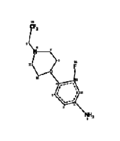 Nc1ccc(C2CCN(CC(F)(F)F)CC2)c(F)c1